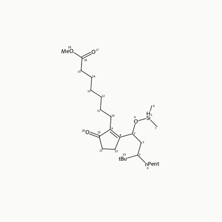 CCCCCC(CC(O[SiH](C)C)C1=C(CCCCCCC(=O)OC)C(=O)CC1)C(C)(C)C